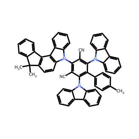 Cc1ccc(-c2c(-n3c4ccccc4c4ccccc43)c(C#N)c(-n3c4ccccc4c4c5c(ccc43)C(C)(C)c3ccccc3-5)c(C#N)c2-n2c3ccccc3c3ccccc32)cc1